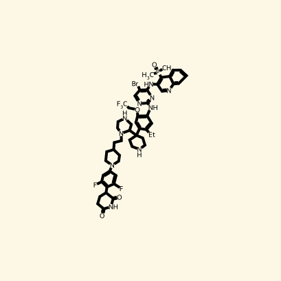 CCc1cc(Nc2ncc(Br)c(Nc3cnc4ccccc4c3P(C)(C)=O)n2)c(OCC(F)(F)F)cc1C1(C2CNCCN2CCC2CCN(c3cc(F)c(C4CCC(=O)NC4=O)c(F)c3)CC2)CCNCC1